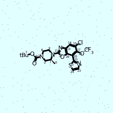 C[C@H]1CN(C(=O)OC(C)(C)C)CCN1c1nc2cc(Cl)c(OC(F)(F)F)c(-c3nccs3)c2o1